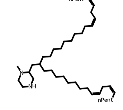 CCCCC/C=C\C/C=C\CCCCCCCCCC(CCCCCCCC/C=C\C/C=C\CCCCC)CC1CNCCN1C